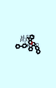 CC1(C)c2ccccc2-c2ccc(N(c3ccc(-c4ccccc4)cc3)c3ccccc3-c3cccc4oc5cc6ccccc6cc5c34)cc21